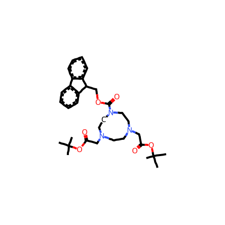 CC(C)(C)OC(=O)CN1CCN(CC(=O)OC(C)(C)C)CCN(C(=O)OCC2c3ccccc3-c3ccccc32)CC1